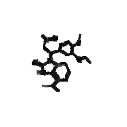 CCOc1cc([C@H](C[Si](C)=O)n2c(=O)[nH]c3c(C(C)C)cccc32)ccc1OC